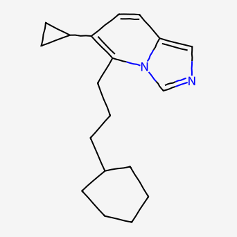 c1cc2cncn2c(CCCC2CCCCC2)c1C1CC1